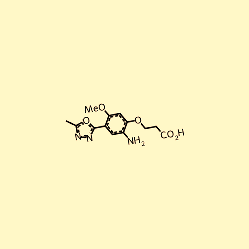 COc1cc(OCCC(=O)O)c(N)cc1-c1nnc(C)o1